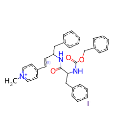 C[n+]1ccc(/C=C/C(Cc2ccccc2)NC(=O)C(Cc2ccccc2)NC(=O)OCc2ccccc2)cc1.[I-]